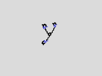 Cc1ccc[n+](CCCCCc2cc(CCCCC[n+]3cccc(C)c3)cc(CCCCC[n+]3cccc(C)c3)c2)c1